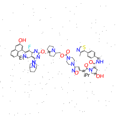 CCc1cccc2cc(O)cc(-c3ncc4c(N5CC6CCC(C5)N6)nc(OC[C@]56CCCN5C(COC(=O)N5CCN(c7cc([C@H](C(=O)N8C[C@H](O)C[C@H]8C(=O)N[C@@H](C)c8ccc(-c9scnc9C)cc8)C(C)C)on7)CC5)CC6)nc4c3F)c12